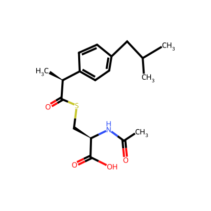 CC(=O)N[C@H](CSC(=O)[C@@H](C)c1ccc(CC(C)C)cc1)C(=O)O